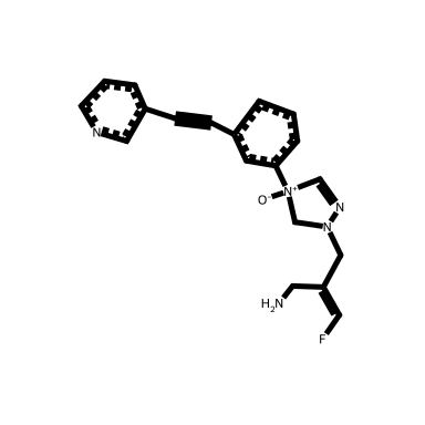 NC/C(=C\F)CN1C[N+]([O-])(c2cccc(C#Cc3cccnc3)c2)C=N1